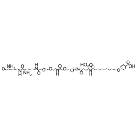 N[C@H](C=O)CCCCNC(=O)[C@@H](N)CCCCNC(=O)COCCOCCNC(=O)COCCOCCNC(=O)CC[C@H](NC(=O)CCCCCCCCCCOc1ccc(C(=O)O)cc1)C(=O)O